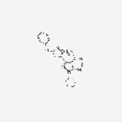 Nc1ncnc2c1c(-c1cc(Oc3ccccc3)no1)nn2C1CCCC1